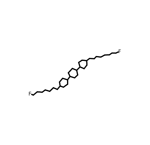 FCCCCCCCCC1CCC(C2CCC(C3CCC(CCCCCCCF)CC3)CC2)CC1